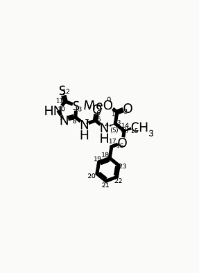 COC(=O)[C@@H](NC(=O)Nc1n[nH]c(=S)s1)[C@@H](C)OCc1ccccc1